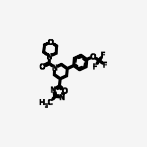 Cc1noc(C2CC(c3ccc(OC(F)(F)F)cc3)CN(C(=O)N3CCOCC3)C2)n1